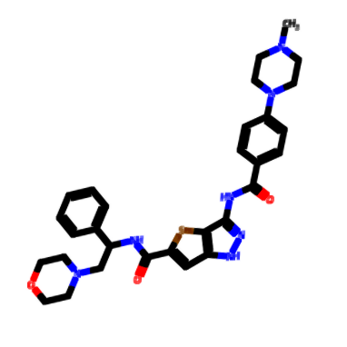 CN1CCN(c2ccc(C(=O)Nc3n[nH]c4cc(C(=O)NC(CN5CCOCC5)c5ccccc5)sc34)cc2)CC1